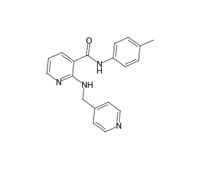 Cc1ccc(NC(=O)c2cccnc2NCc2ccncc2)cc1